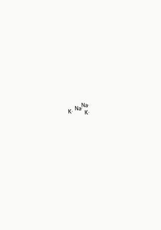 [K].[K].[Na].[Na]